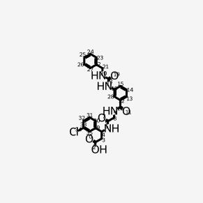 O=C(O)CC(NC(=O)CNC(=O)c1cccc(NC(=O)NCc2ccccc2)c1)c1cccc(Cl)c1